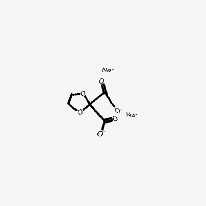 O=C([O-])C1(C(=O)[O-])OCCO1.[Na+].[Na+]